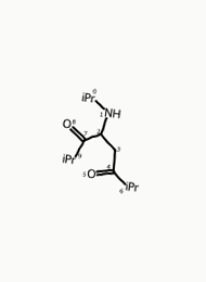 CC(C)NC(CC(=O)C(C)C)C(=O)C(C)C